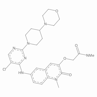 CNC(=O)COc1cc2cc(Nc3nc(N4CCC(N5CCOCC5)CC4)ncc3Cl)ccc2n(C)c1=O